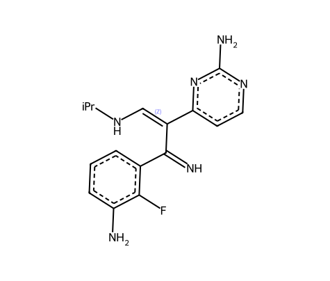 CC(C)N/C=C(\C(=N)c1cccc(N)c1F)c1ccnc(N)n1